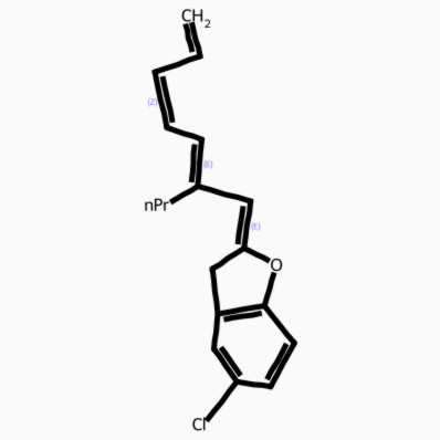 C=C\C=C/C=C(/C=C1\Cc2cc(Cl)ccc2O1)CCC